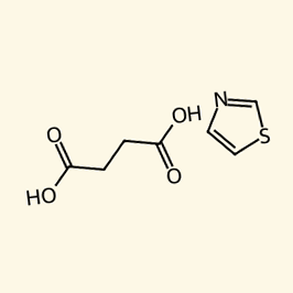 O=C(O)CCC(=O)O.c1cscn1